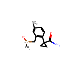 C[S@@+]([O-])Cc1cc([N+](=O)[O-])ccc1C1(C(N)=O)CC1